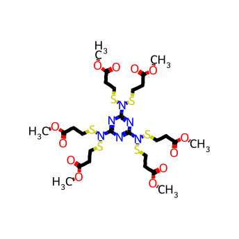 COC(=O)CCSN(SCCC(=O)OC)c1nc(N(SCCC(=O)OC)SCCC(=O)OC)nc(N(SCCC(=O)OC)SCCC(=O)OC)n1